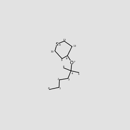 CCCCC(C)(C)OC1CCSCC1